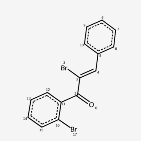 O=C(C(Br)=Cc1ccccc1)c1ccccc1Br